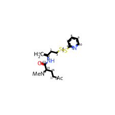 C=C(CCSSc1ccccn1)NC(=O)C(CCC(C)=O)NC